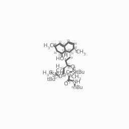 CCCCNC(=O)C[C@@H](C[C@@H](CC[C@@H]1[C@@H]2C(=C[C@H](C)C[C@@H]2O)C=C[C@@H]1C)O[Si](C)(C)C(C)(C)C)O[Si](C)(C)C(C)(C)C